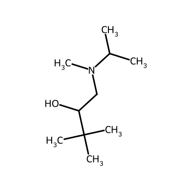 CC(C)N(C)CC(O)C(C)(C)C